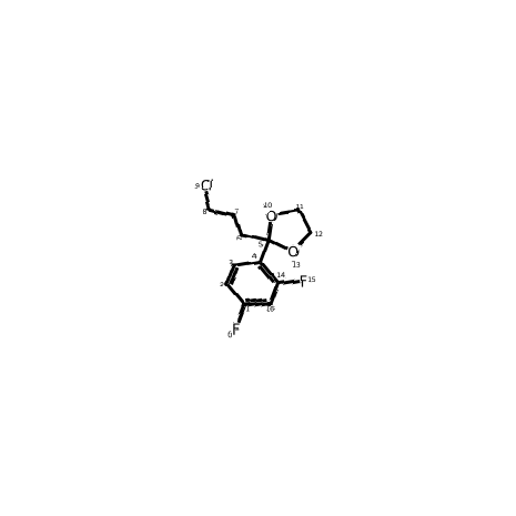 Fc1ccc(C2(CCCCl)OCCO2)c(F)c1